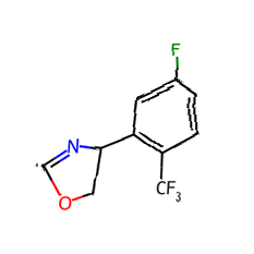 Fc1ccc(C(F)(F)F)c(C2CO[C]=N2)c1